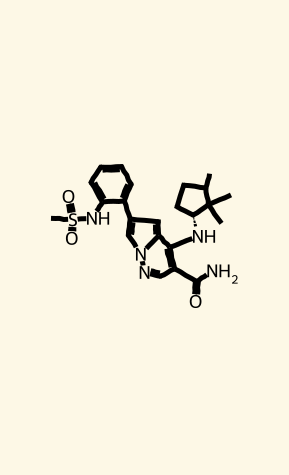 CC1CC[C@@H](Nc2c(C(N)=O)cnn3cc(-c4ccccc4NS(C)(=O)=O)cc23)C1(C)C